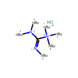 CCCCN=C(N(CCCC)CCCC)[N+](CCCC)(CCCC)CCCC.Cl